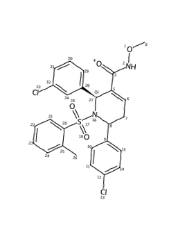 CONC(=O)C1=CCC(c2ccc(Cl)cc2)N(S(=O)(=O)c2ccccc2C)[C@H]1c1cccc(Cl)c1